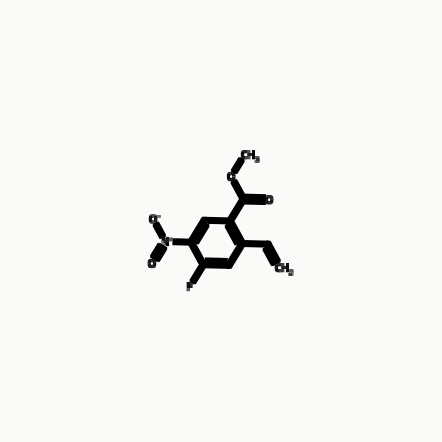 C=Cc1cc(F)c([N+](=O)[O-])cc1C(=O)OC